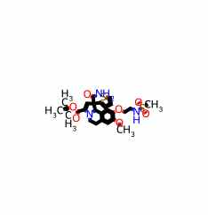 COc1cc2c(cc1OCCNS(C)(=O)=O)C1N(CC2)C(C(=O)OC(C)(C)C)=CC1(C(N)=O)c1cccs1